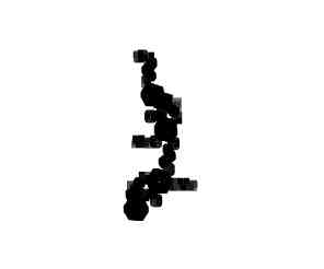 COc1cc2c(cc1OCCCOc1cc3c(cc1OC)C(=O)N1c4ccc(SCCCC(C)(C)C)cc4C[C@H]1C=N3)N=C[C@@H]1Cc3ccccc3N1C2=O